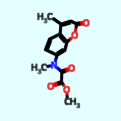 COC(=O)C(=O)N(C)c1ccc2c(C)cc(=O)oc2c1